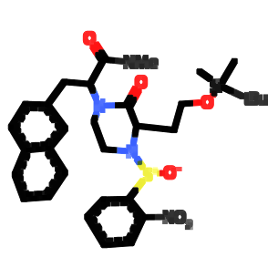 CNC(=O)C(Cc1ccc2ccccc2c1)N1CCN([S+]([O-])c2ccccc2[N+](=O)[O-])C(CCO[Si](C)(C)C(C)(C)C)C1=O